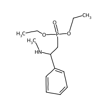 CCOP(=O)(CC(NC)c1ccccc1)OCC